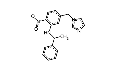 CC(Nc1cc(Cn2ccnc2)ccc1[N+](=O)[O-])c1ccccc1